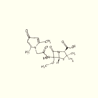 COC1(NC(=O)Cn2c(C)cc(=O)cc2C)C(=O)N2[C@@H](C(=O)O)C(C)(C)S[C@@H]21